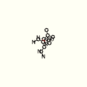 N#Cc1cncc(-c2ccc3c(c2)c2cc(-c4cncc(C#N)c4)ccc2n3-c2cccc3c2C(=O)N(c2c(-c4ccccc4)cc(-c4ccccc4)cc2-c2ccccc2)C3=O)c1